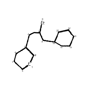 CCC(CC1CCCCC1)CC1CCCCC1